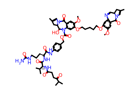 COc1cc2c(cc1OCCCCCOc1cc3c(cc1OC)C(=O)N1C=C(C)CC1C(O)N3C(=O)OCc1ccc(NC(=O)[C@H](CCCNC(N)=O)NC(=O)[C@@H](NC(=O)CCC(=O)C(C)C)C(C)C)cc1)N=CC1CC(C)=CN1C2=O